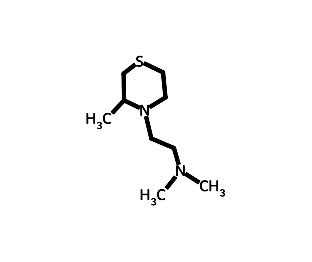 CC1CSCCN1CCN(C)C